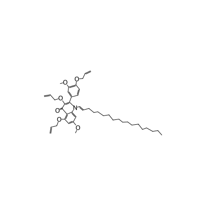 C=CCOc1ccc(-c2c(OCC=C)c(=O)c3c(OCC=C)cc(OC)cc3n2C=CCCCCCCCCCCCCCCCC)cc1OC